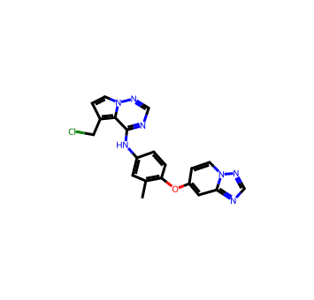 Cc1cc(Nc2ncnn3ccc(CCl)c23)ccc1Oc1ccn2ncnc2c1